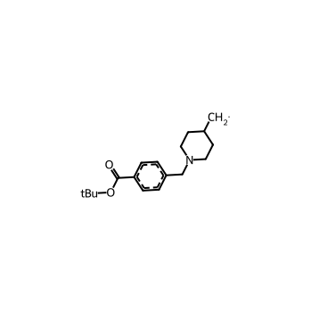 [CH2]C1CCN(Cc2ccc(C(=O)OC(C)(C)C)cc2)CC1